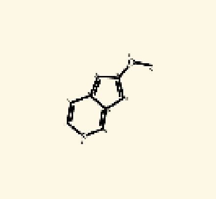 COc1[c]c2ccscc-2c1